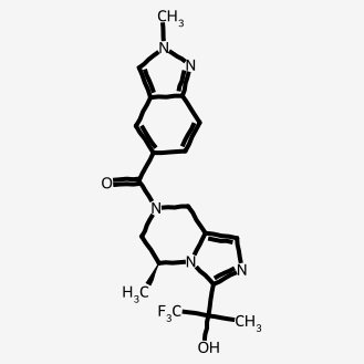 C[C@H]1CN(C(=O)c2ccc3nn(C)cc3c2)Cc2cnc(C(C)(O)C(F)(F)F)n21